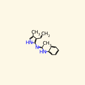 C=Cc1c(C)c[nH]c1/N=C(\C)Nc1ccccc1